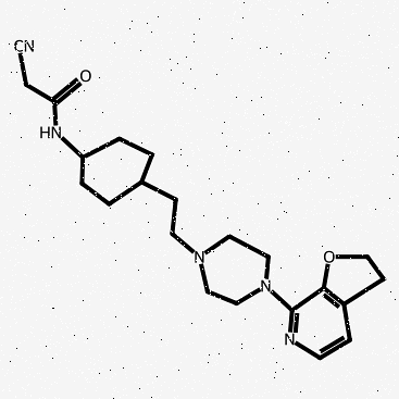 N#CCC(=O)NC1CCC(CCN2CCN(c3nccc4c3OCC4)CC2)CC1